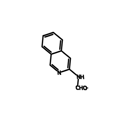 O=[C]Nc1cc2ccccc2cn1